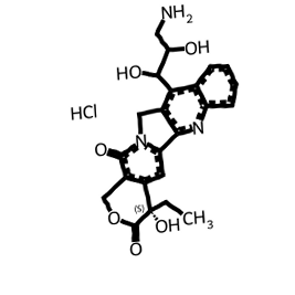 CC[C@@]1(O)C(=O)OCc2c1cc1n(c2=O)Cc2c-1nc1ccccc1c2C(O)C(O)CN.Cl